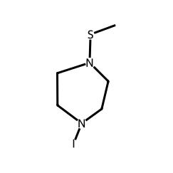 CSN1CCN(I)CC1